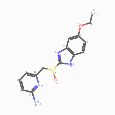 CCOc1ccc2[nH]c([S+]([O-])Cc3cccc(N)n3)nc2c1